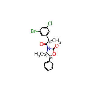 C[C@@H]1[C@H](c2ccccc2)OC(=O)N1C(=O)[C@H](C)c1cc(Cl)cc(Br)c1